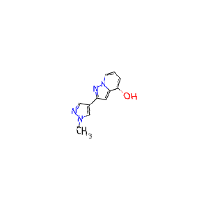 Cn1cc(-c2cc3c(O)cccn3n2)cn1